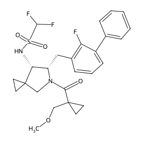 COCC1(C(=O)N2CC3(CC3)[C@H](NS(=O)(=O)C(F)F)[C@@H]2Cc2cccc(-c3ccccc3)c2F)CC1